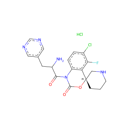 Cl.NC(Cc1cncnc1)C(=O)N1C(=O)O[C@]2(CCCNC2)c2c1ccc(Cl)c2F